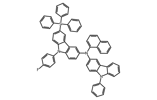 Fc1ccc(-n2c3ccc(N(c4ccc5c(c4)c4ccccc4n5-c4ccccc4)c4cccc5ccccc45)cc3c3cc([Si](c4ccccc4)(c4ccccc4)c4ccccc4)ccc32)cc1